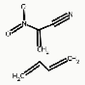 C=C(C#N)[N+](=O)[O-].C=CC=C